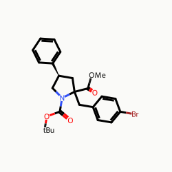 COC(=O)C1(Cc2ccc(Br)cc2)C[C@H](c2ccccc2)CN1C(=O)OC(C)(C)C